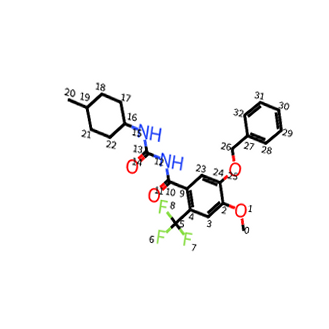 COc1cc(C(F)(F)F)c(C(=O)NC(=O)NC2CCC(C)CC2)cc1OCc1ccccc1